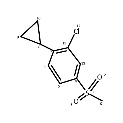 CS(=O)(=O)c1ccc(C2CC2)c(Cl)c1